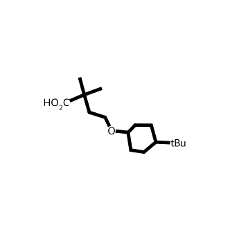 CC(C)(CCOC1CCC(C(C)(C)C)CC1)C(=O)O